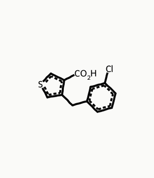 O=C(O)c1cscc1Cc1cccc(Cl)c1